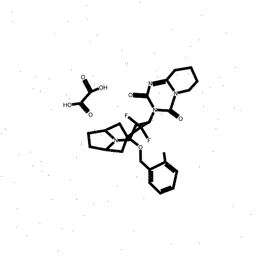 Cc1ccccc1COC1(C(F)(F)F)CC2CCC(C1)N2CCCn1c(=O)nc2n(c1=O)CCCC2.O=C(O)C(=O)O